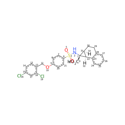 O=C(O)[C@]1(NS(=O)(=O)c2ccc(OCc3ccc(Cl)cc3Cl)cc2)[C@@H]2c3ccccc3CC[C@@H]21